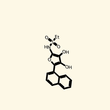 CCS(=O)(=O)Nc1oc(-c2cccc3ccccc23)c(O)c1O